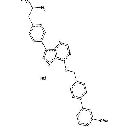 COc1cccc(-c2ccc(COc3ncnc4c(-c5ccc(CC(N)C(=O)O)cc5)csc34)cc2)c1.Cl